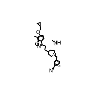 CNC.Cc1c(OCC2CC2)ccc2c(CCC3CCN(Cc4csc(C#N)c4)CC3)noc12